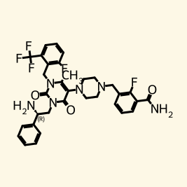 Cc1c(N2CCN(Cc3cccc(C(N)=O)c3F)CC2)c(=O)n(C[C@H](N)c2ccccc2)c(=O)n1Cc1c(F)cccc1C(F)(F)F